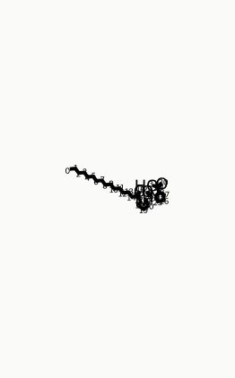 CCCCCCCCCCCCCCCC(=O)N1CCC[C@H]1C(=O)N1CCCC1C(=O)O